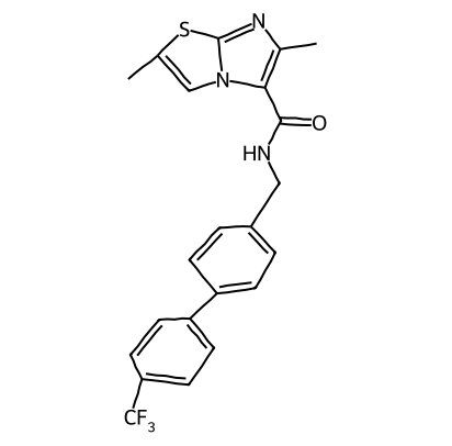 Cc1cn2c(C(=O)NCc3ccc(-c4ccc(C(F)(F)F)cc4)cc3)c(C)nc2s1